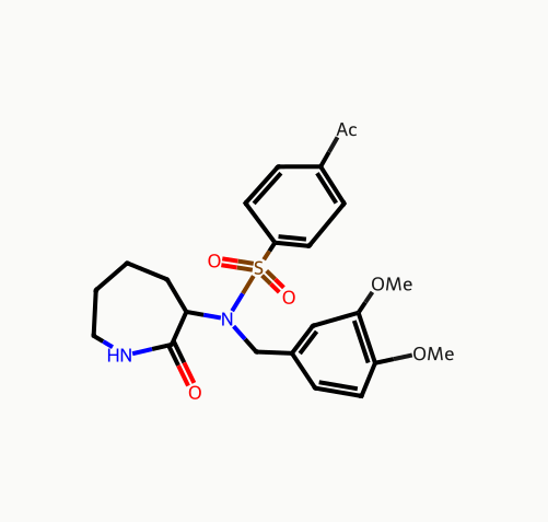 COc1ccc(CN(C2CCCCNC2=O)S(=O)(=O)c2ccc(C(C)=O)cc2)cc1OC